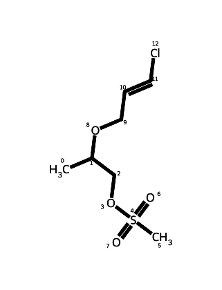 CC(COS(C)(=O)=O)OC/C=C/Cl